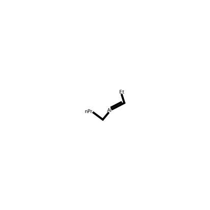 CC[CH]=[Al][CH2]CCC